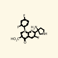 NC1(c2nc3c(cc2F)c(=O)c(C(=O)O)cn3-c2ccc(F)cc2F)CCNC1